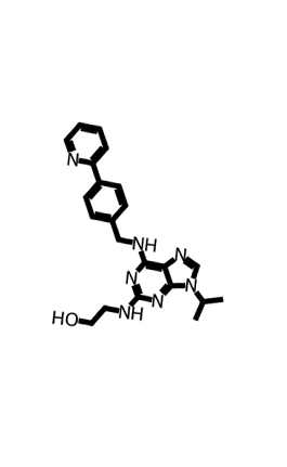 CC(C)n1cnc2c(NCc3ccc(-c4ccccn4)cc3)nc(NCCO)nc21